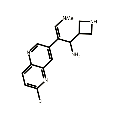 CN/C=C(/c1cnc2ccc(Cl)nc2c1)C(N)C1CNC1